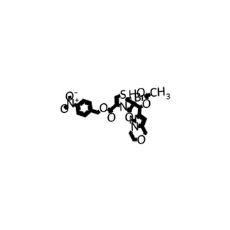 CC(=O)OC(c1cc2n(n1)CCOC2)C1(Br)C(=O)N2C(C(=O)OCc3ccc([N+](=O)[O-])cc3)=CS[C@@H]21